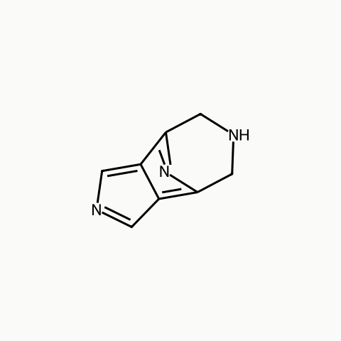 C1=NC=C2C3=NC(=C12)CNC3